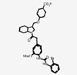 COc1cc(CC(=O)N2CC(COC3CCC(C(=O)O)CC3)C3CCCCC32)ccc1NC(=O)Nc1ccccc1Br